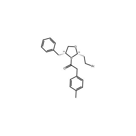 CC(=O)CC[C@H]1OC[C@@H](Cc2ccccc2)N1C(=O)Cc1ccc(C)cc1